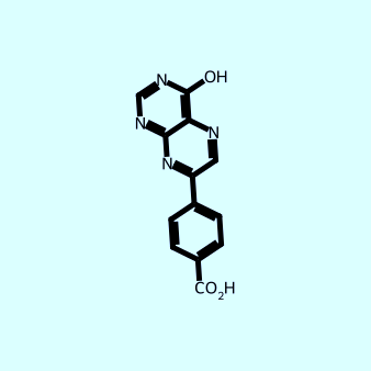 O=C(O)c1ccc(-c2cnc3c(O)ncnc3n2)cc1